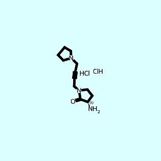 Cl.Cl.N[C@H]1CCN(CC#CCN2CCCC2)C1=O